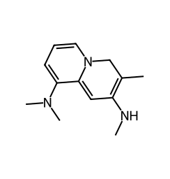 CNC1=C(C)CN2C=CC=C(N(C)C)C2=C1